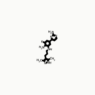 Cc1n[nH]c(C)c1CCCNc1cc(-c2ccnc(N)n2)cc(F)c1N